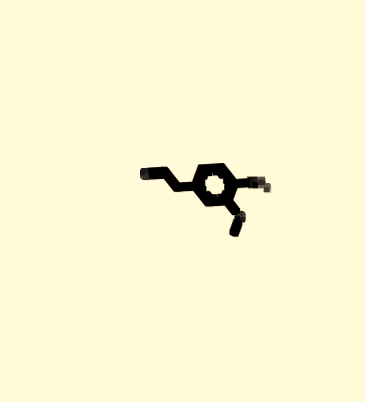 COc1cc(CC=O)ccc1N